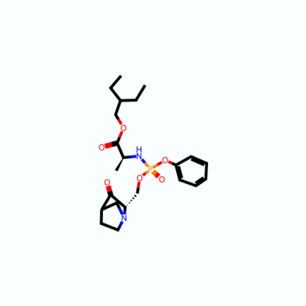 CCC(CC)COC(=O)[C@H](C)NP(=O)(OC[C@H]1C(=O)C2CCN1C2)Oc1ccccc1